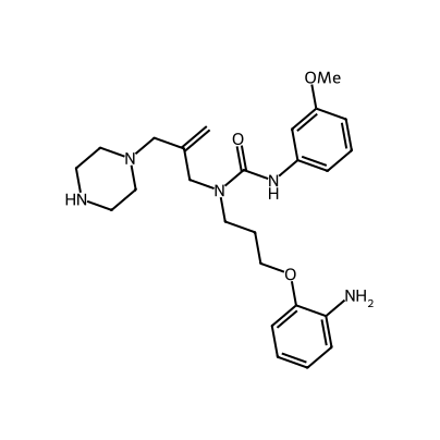 C=C(CN1CCNCC1)CN(CCCOc1ccccc1N)C(=O)Nc1cccc(OC)c1